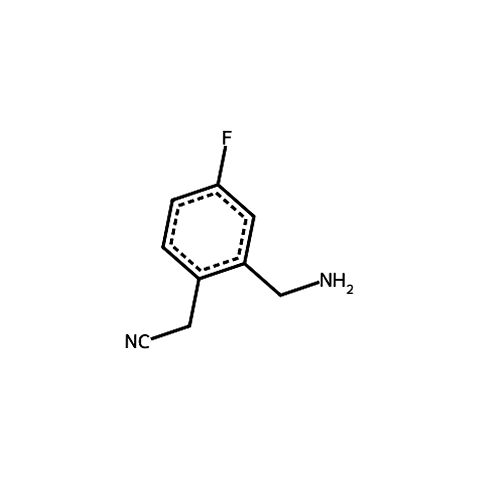 N#CCc1ccc(F)cc1CN